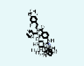 COc1ccc(CCn2c(-c3cnccn3)nc3cc(N/C(=N/[C@H]4C[C@H]5C[C@@H]([C@@H]4C)C5(C)C)N4CC(=O)N[C@@H](C)C4)ccc3c2=O)c(F)c1